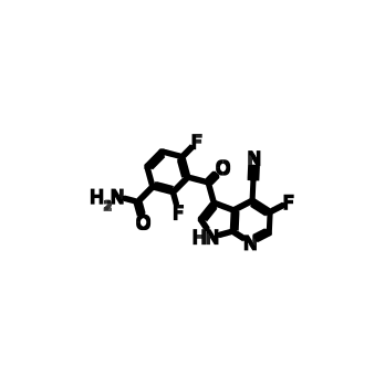 N#Cc1c(F)cnc2[nH]cc(C(=O)c3c(F)ccc(C(N)=O)c3F)c12